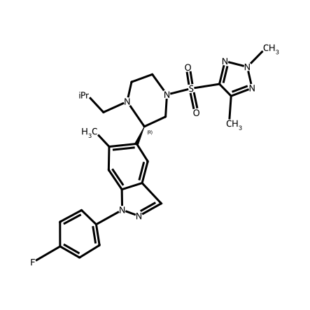 Cc1cc2c(cnn2-c2ccc(F)cc2)cc1[C@@H]1CN(S(=O)(=O)c2nn(C)nc2C)CCN1CC(C)C